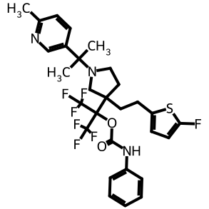 Cc1ccc(C(C)(C)N2CCC(CCc3ccc(F)s3)(C(OC(=O)Nc3ccccc3)(C(F)(F)F)C(F)(F)F)C2)cn1